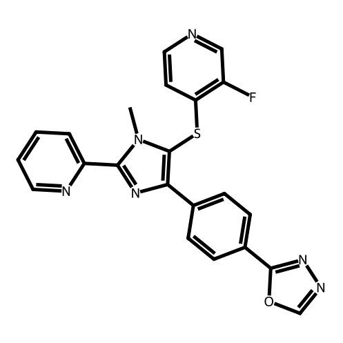 Cn1c(-c2ccccn2)nc(-c2ccc(-c3nnco3)cc2)c1Sc1ccncc1F